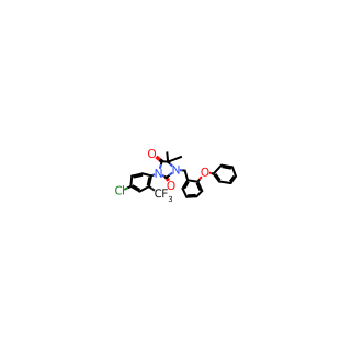 CC1(C)C(=O)N(c2ccc(Cl)cc2C(F)(F)F)C(=O)N1Cc1ccccc1Oc1ccccc1